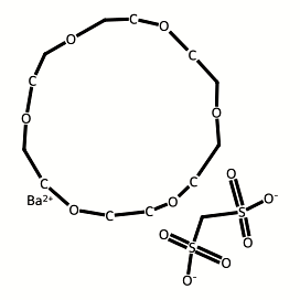 C1COCCOCCOCCOCCOCCO1.O=S(=O)([O-])CS(=O)(=O)[O-].[Ba+2]